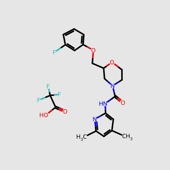 Cc1cc(C)nc(NC(=O)N2CCOC(COc3cccc(F)c3)C2)c1.O=C(O)C(F)(F)F